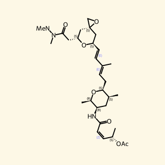 CNN(C)C(=O)C[C@@H]1C[C@@]2(CO2)C[C@@H](/C=C/C(C)=C/C[C@@H]2O[C@H](C)[C@H](NC(=O)/C=C\[C@H](C)OC(C)=O)C[C@@H]2C)O1